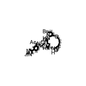 CC(=O)c1nn(CC(=O)N2[C@H]3C[C@@]4(CNC(=O)C(F)(F)CCCCOCc5ccc(Br)nc5NC3=O)C[C@@H]24)c2ccc(-c3cnc(C)nc3)cc12